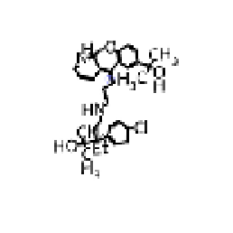 CCC(CCNCC/C=C1/c2cc(C(C)(C)O)ccc2OC[C@H]2N=CC=CC12)(C1=CCC(Cl)C=C1)C(C)(C)O